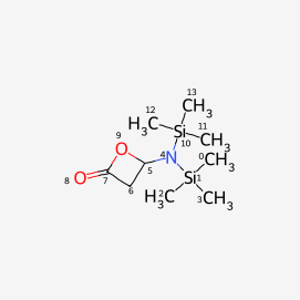 C[Si](C)(C)N(C1CC(=O)O1)[Si](C)(C)C